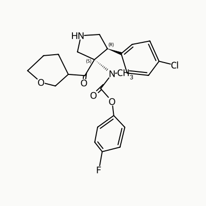 CN(C(=O)Oc1ccc(F)cc1)[C@]1(C(=O)C2CCCOC2)CNC[C@H]1c1ccc(Cl)cc1